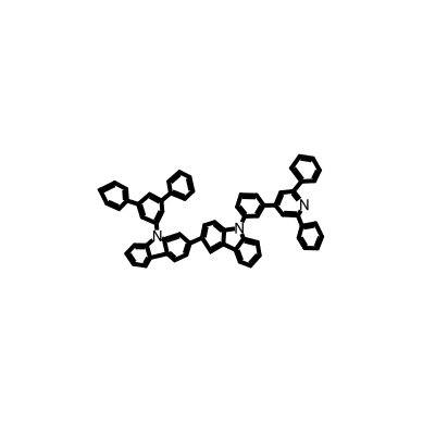 c1ccc(-c2cc(-c3ccccc3)cc(-n3c4ccccc4c4ccc(-c5ccc6c(c5)c5ccccc5n6-c5cccc(-c6cc(-c7ccccc7)nc(-c7ccccc7)c6)c5)cc43)c2)cc1